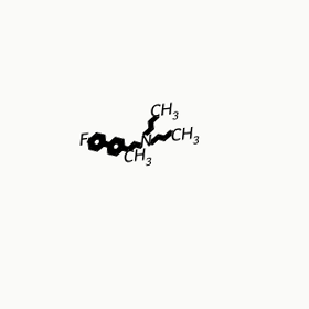 CCCCCN(CC=C(C)c1ccc(-c2ccc(F)cc2)cc1)CCCCC